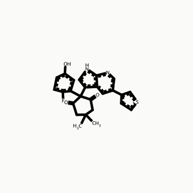 CC1(C)CC(=O)C(c2cc(O)ccc2F)(c2c[nH]c3ncc(-c4ccsc4)cc23)C(=O)C1